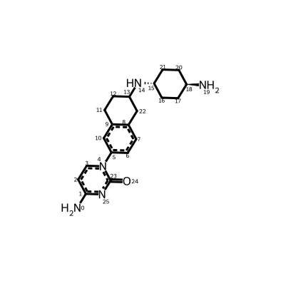 Nc1ccn(-c2ccc3c(c2)CCC(N[C@H]2CC[C@H](N)CC2)C3)c(=O)n1